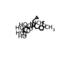 Cc1ccc(Cc2c(O[C@]3(O)O[C@H](CO)[C@@H](O)[C@H](O)[C@H]3O)nn(CC3CC3)c2C)cc1F